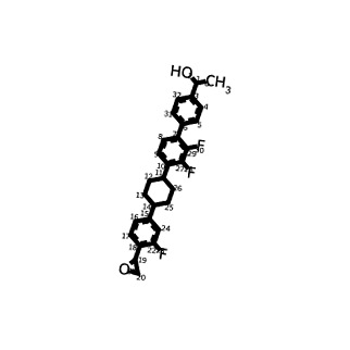 CC(O)c1ccc(-c2ccc(C3CCC(c4ccc(C5CO5)c(F)c4)CC3)c(F)c2F)cc1